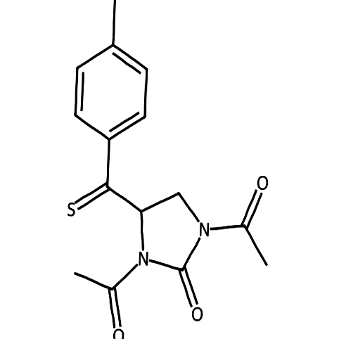 CC(=O)N1CC(C(=S)c2ccc(C)cc2)N(C(C)=O)C1=O